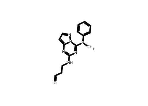 CN(c1ccccc1)c1nc(NCCC=O)nc2ccnn12